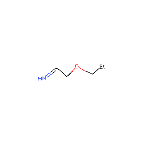 CCCOCC=N